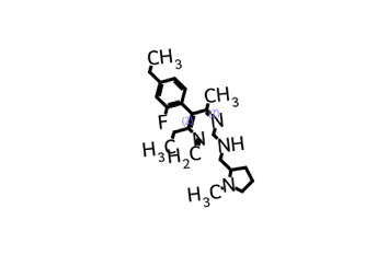 C=N/C(CC)=C(\C(C)=N/CNCC1CCCN1C)c1ccc(CC)cc1F